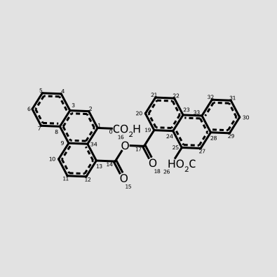 O=C(O)c1cc2ccccc2c2cccc(C(=O)OC(=O)c3cccc4c3c(C(=O)O)cc3ccccc34)c12